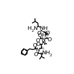 CC(C)CC(N)NC(=O)[C@H]1O[C@@H]1C(=O)N(C(=O)O)N(C)C(=O)[C@H](C)N(C(=O)CCc1ccccc1)C(=O)[C@@H](N)C(C)C